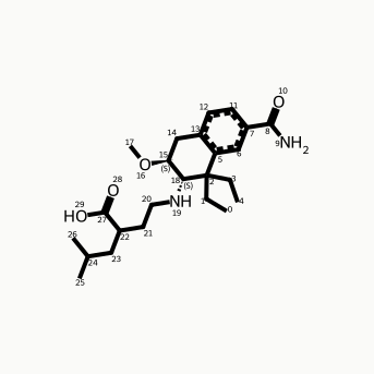 CCC1(CC)c2cc(C(N)=O)ccc2C[C@H](OC)[C@H]1NCCC(CC(C)C)C(=O)O